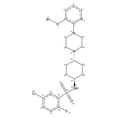 CC(C)Oc1cccnc1N1CCN([C@H]2CC[C@H](NS(=O)(=O)c3cc(Cl)ccc3F)CC2)CC1